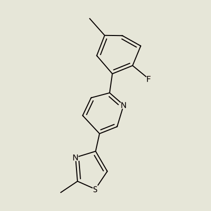 Cc1ccc(F)c(-c2ccc(-c3csc(C)n3)cn2)c1